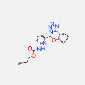 C#CCCOC(=O)Nc1cccc(COc2ccccc2-c2nnnn2C)n1